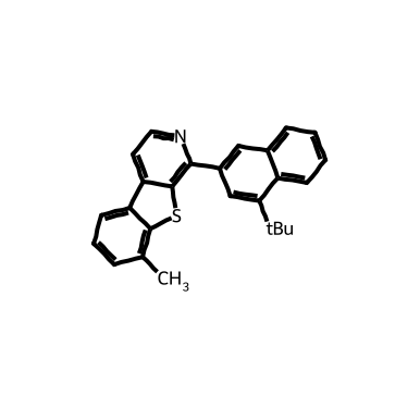 Cc1cccc2c1sc1c(-c3cc(C(C)(C)C)c4ccccc4c3)nccc12